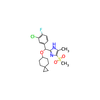 Cc1[nH]c(C(OC2CCC3(CC2)CC3)c2ccc(F)c(Cl)c2)nc1S(C)(=O)=O